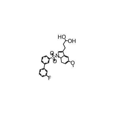 COC1=CCC2C(=C1)C(CCC(O)O)=CN2S(=O)(=O)c1cccc(-c2cccc(F)c2)c1